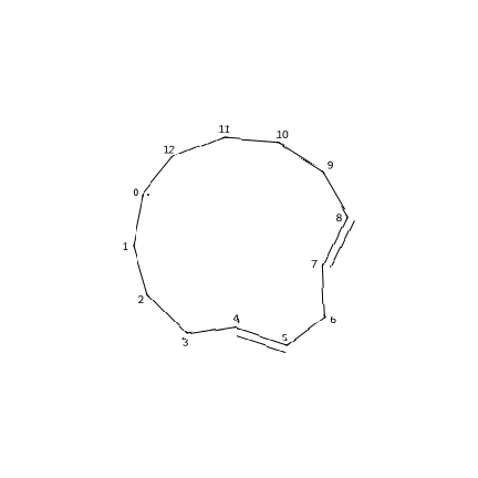 [CH]1CCC/C=C/C/C=C/CCCC1